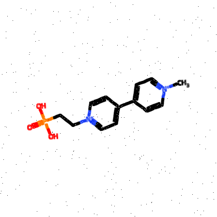 C[n+]1ccc(-c2cc[n+](CCP(=O)(O)O)cc2)cc1